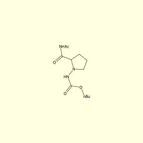 CCCCOC(=O)NN1CCCC1C(=O)NC(C)=O